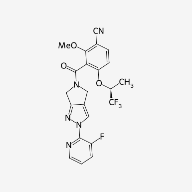 COc1c(C#N)ccc(O[C@@H](C)C(F)(F)F)c1C(=O)N1Cc2cn(-c3ncccc3F)nc2C1